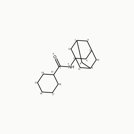 O=C(NC12CC3CC(CC(C3)C1)C2)C1CCCCC1